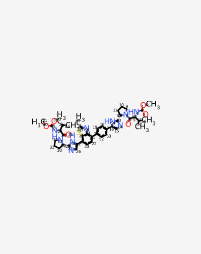 COC(=O)N[C@H](C(=O)N1CCC[C@H]1c1ncc(-c2ccc(-c3ccc(-c4cnc([C@@H]5CCCN5C(=O)[C@@H](NC(=O)OC)C(C)C)[nH]4)c4sc(C)nc34)cc2)[nH]1)C(C)C